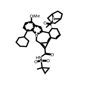 COc1ccc(C2CCCCC2)c2c1cc1n2CC2=C(C(=O)NS(=O)(=O)C3(C)CC3)C2=C2C=CC[C@@H](C(=O)N3C4CCC3CN(C)C4)C21